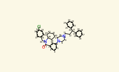 O=C(c1cccc(N2CCN(CCC(c3ccccc3)c3ccccc3)CC2)c1)N(Cc1ccc(Cl)cc1)C1CCCCC1